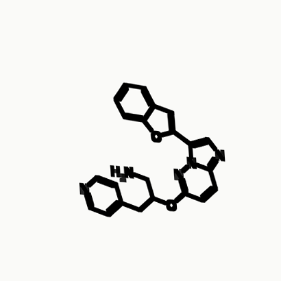 NCC(Cc1ccncc1)Oc1ccc2ncc(-c3cc4ccccc4o3)n2n1